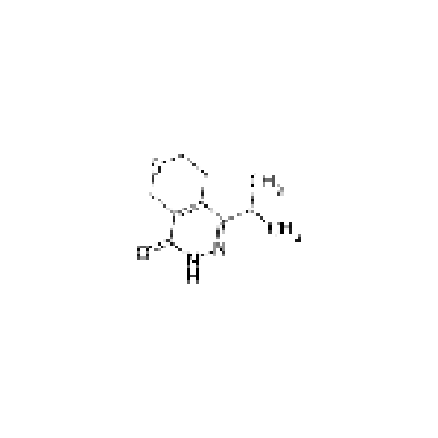 CC(C)c1n[nH]c(=O)c2c1CCSC2